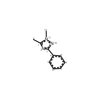 Cc1nc(-c2ccccc2)nn1C